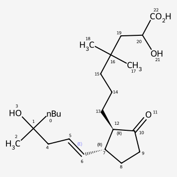 CCCCC(C)(O)C/C=C/[C@H]1CCC(=O)[C@@H]1CCCC(C)(C)CC(O)C(=O)O